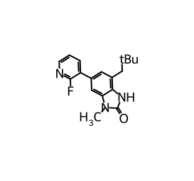 Cn1c(=O)[nH]c2c(CC(C)(C)C)cc(-c3cccnc3F)cc21